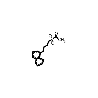 CC(=O)S(=O)(=O)CCCCc1cccc2ccccc12